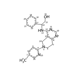 Cc1ccc(N2CCc3ncnc(NC(CO)c4ccccc4)c3C2)nc1